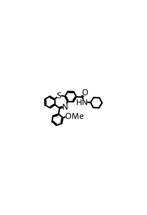 COc1ccccc1C1=Nc2cc(C(=O)NC3CCCCC3)ccc2Sc2ccccc21